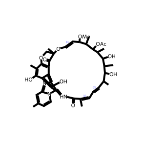 COC1/C=C/OC2(C)COc3c(C)c(O)c4c(O)c(c5c(nc6cc(C)ccn65)c4c3C2=O)NC(=O)/C(C)=C\C=C\C(C)C(O)C(C)C(O)C(C)C(OC(C)=O)C1C